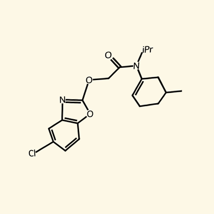 CC1CCC=C(N(C(=O)COc2nc3cc(Cl)ccc3o2)C(C)C)C1